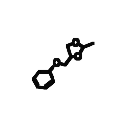 CC1OCC(COc2ccccc2)O1